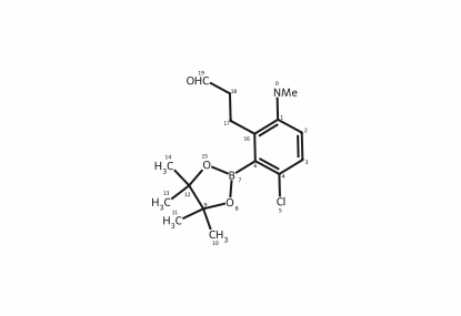 CNc1ccc(Cl)c(B2OC(C)(C)C(C)(C)O2)c1CCC=O